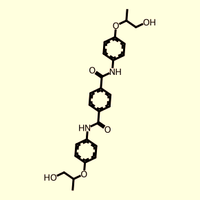 CC(CO)Oc1ccc(NC(=O)c2ccc(C(=O)Nc3ccc(OC(C)CO)cc3)cc2)cc1